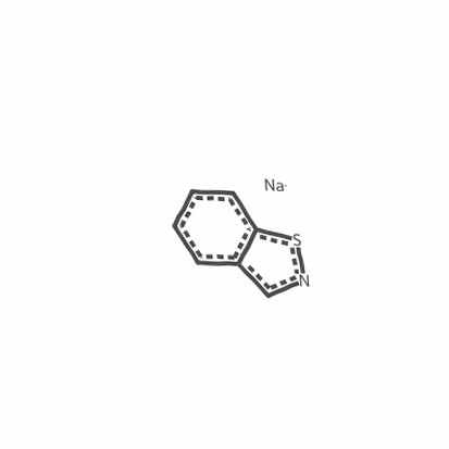 [Na].c1ccc2sncc2c1